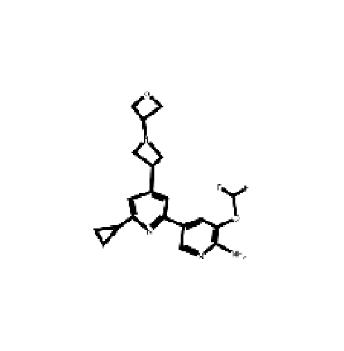 Nc1ncc(-c2cc(C3CN(C4COC4)C3)cc(C3CC3)n2)cc1OC(F)F